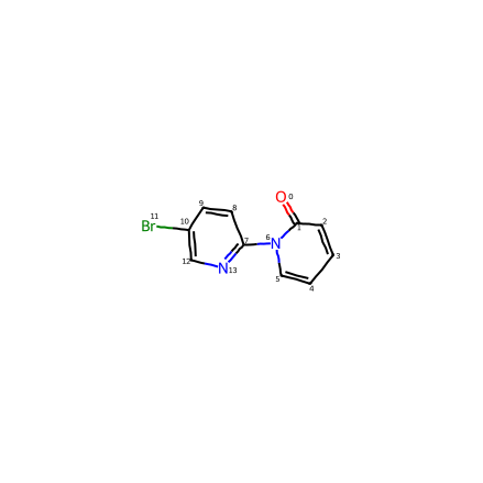 O=c1ccccn1-c1ccc(Br)cn1